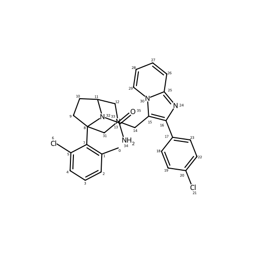 Cc1cccc(Cl)c1C12CCC(CN(Cc3c(-c4ccc(Cl)cc4)nc4ccccn34)C1)N2C(N)=O